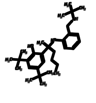 CCCCC(C)(Pc1ccccc1CNC(C)(C)C)c1cc(C(C)(C)C)cc(C(C)(C)C)c1O